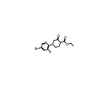 CCOC(=O)C1CCN(c2ncc(Br)cc2F)CC1=O